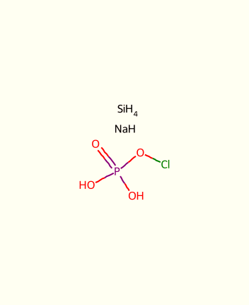 O=P(O)(O)OCl.[NaH].[SiH4]